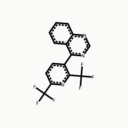 FC(F)(F)c1ccc(-c2ncnc3ccccc23)c(C(F)(F)F)n1